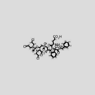 N[C@@H](CCC(=O)O)C(=O)N(C(=O)[C@@H](N)CS(=O)(=O)CCOP(=O)(N(CCCl)CCCl)N(CCCl)CCCl)[C@](C(=O)O)(C(=O)OCc1ccccc1)c1ccccc1